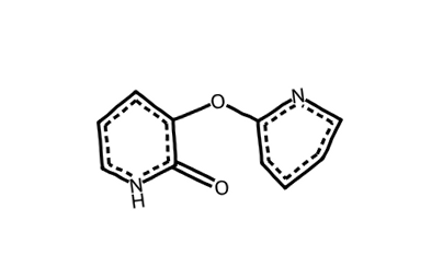 O=c1[nH]cccc1Oc1ccccn1